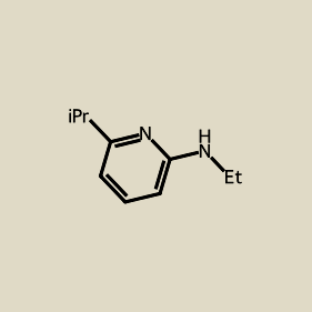 CCNc1cccc(C(C)C)n1